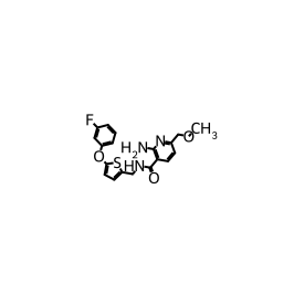 COCc1ccc(C(=O)NCc2ccc(Oc3cccc(F)c3)s2)c(N)n1